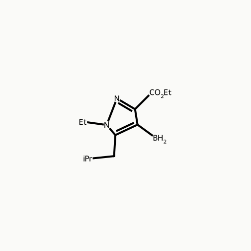 Bc1c(C(=O)OCC)nn(CC)c1CC(C)C